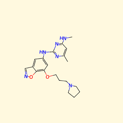 CNc1cc(C)nc(Nc2cc(OCCCN3CCCC3)c3oncc3c2)n1